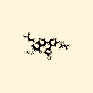 CCNC(=O)Nc1cc(-c2nc(C(F)(F)F)cs2)c(-c2cnc3c(c2)c(=O)c(C(=O)O)cn3CCN(C)C)cn1